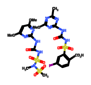 COc1cc(OC)nc(NC(=O)NS(=O)(=O)N(C)S(C)(=O)=O)n1.COc1nc(C)nc(NC(=O)NS(=O)(=O)c2cc(I)ccc2C(=O)O)n1